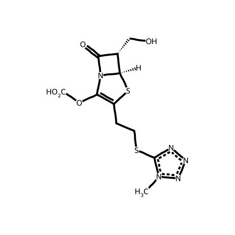 Cn1nnnc1SCCC1=C(OC(=O)O)N2C(=O)[C@H](CO)[C@H]2S1